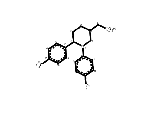 CC(C)c1ccc(N2CC(CC(=O)O)CCC2c2ccc(C(F)(F)F)cc2)cc1